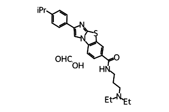 CCN(CC)CCCNC(=O)c1ccc2c(c1)sc1nc(-c3ccc(C(C)C)cc3)cn12.O=CO